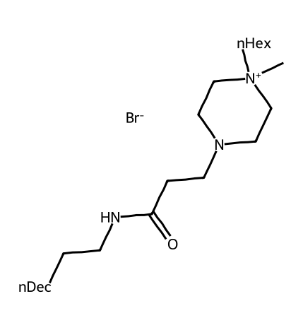 CCCCCCCCCCCCNC(=O)CCN1CC[N+](C)(CCCCCC)CC1.[Br-]